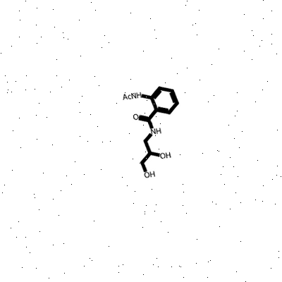 CC(=O)Nc1ccccc1C(=O)NCC(O)CO